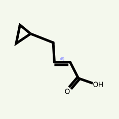 O=C(O)/C=C/CC1CC1